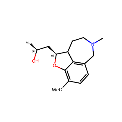 CC[C@H](O)C[C@@H]1Oc2c(OC)ccc3c2C1CCN(C)C3